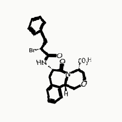 O=C(N[C@H]1Cc2ccccc2[C@H]2COC[C@@H](C(=O)O)N2C1=O)[C@H](Br)Cc1ccccc1